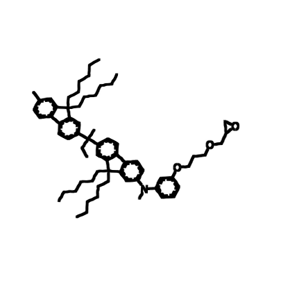 CCCCCCC1(CCCCCC)c2cc(C)ccc2-c2ccc(C(C)(CC)c3ccc4c(c3)C(CCCCCC)(CCCCCC)c3cc(N(C)c5cccc(OCCCOCC6CO6)c5)ccc3-4)cc21